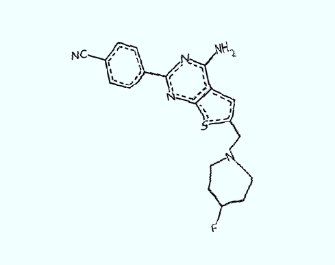 N#Cc1ccc(-c2nc(N)c3cc(CN4CCC(F)CC4)sc3n2)cc1